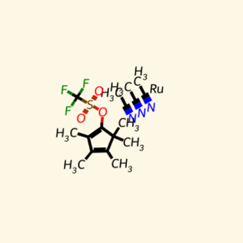 CC#N.CC#N.CC#N.CC1=C(C)C(C)(C)C(OS(=O)(=O)C(F)(F)F)=C1C.[Ru]